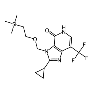 C[Si](C)(C)CCOCn1c(C2CC2)nc2c(C(F)(F)F)c[nH]c(=O)c21